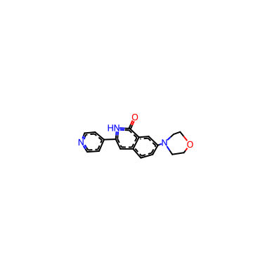 O=c1[nH]c(-c2ccncc2)cc2ccc(N3CCOCC3)cc12